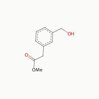 COC(=O)Cc1cccc(CO)c1